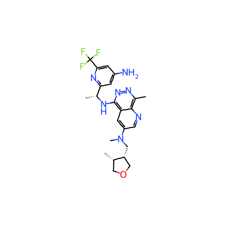 Cc1nnc(N[C@H](C)c2cc(N)cc(C(F)(F)F)n2)c2cc(N(C)C[C@@H]3COC[C@@H]3C)cnc12